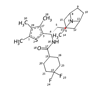 Cc1sc([C@H](CCN2C3CCC2CC(C)C3)NC(=O)C2CCC(F)(F)CC2)c(C)c1C